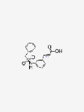 O=C(O)/C=C/c1cccc(NS(=O)(=O)Cc2ccccc2)c1